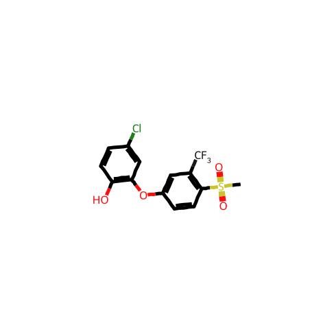 CS(=O)(=O)c1ccc(Oc2cc(Cl)ccc2O)cc1C(F)(F)F